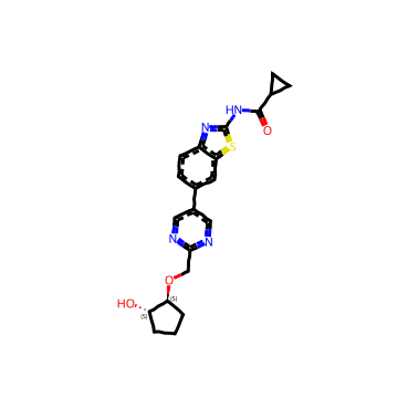 O=C(Nc1nc2ccc(-c3cnc(CO[C@H]4CCC[C@@H]4O)nc3)cc2s1)C1CC1